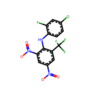 O=[N+]([O-])c1cc([N+](=O)[O-])c(Nc2ccc(Cl)cc2F)c(C(F)(F)F)c1